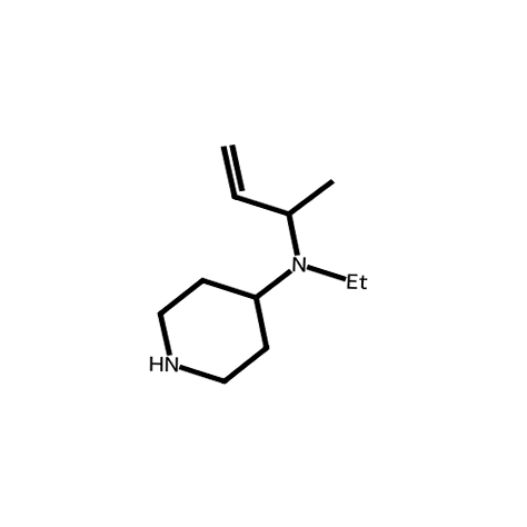 C=CC(C)N(CC)C1CCNCC1